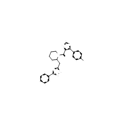 O=C(c1ncsc1-c1ccc(F)cc1)N1CCCCC1Cc1nnc(-c2ccccc2)o1